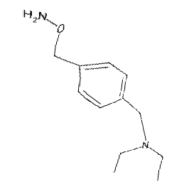 CCN(CC)Cc1ccc(CON)cc1